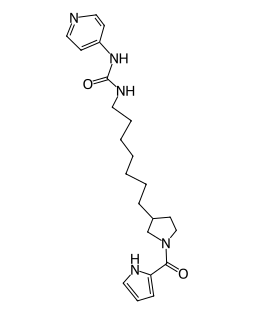 O=C(NCCCCCCCC1CCN(C(=O)c2ccc[nH]2)C1)Nc1ccncc1